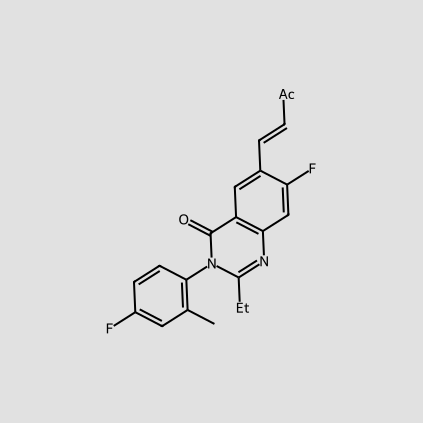 CCc1nc2cc(F)c(/C=C/C(C)=O)cc2c(=O)n1-c1ccc(F)cc1C